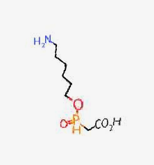 NCCCCCCO[PH](=O)CC(=O)O